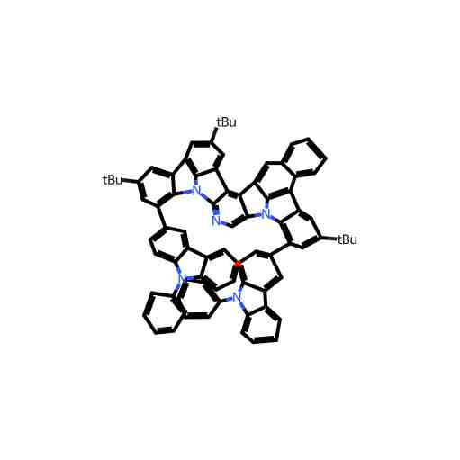 CC(C)(C)c1cc(-c2ccc3c(c2)c2ccccc2n3-c2ccccc2)c2c(c1)c1c3ccccc3cc3c4c5c6cc(C(C)(C)C)cc7c8cc(C(C)(C)C)cc(-c9ccc%10c(c9)c9ccccc9n%10-c9ccccc9)c8n(c5ncc4n2c31)c76